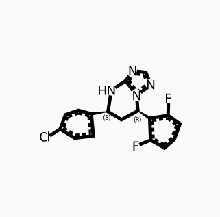 Fc1cccc(F)c1[C@H]1C[C@@H](c2ccc(Cl)cc2)Nc2ncnn21